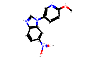 COc1ccc(-n2cnc3ccc([N+](=O)[O-])cc32)cn1